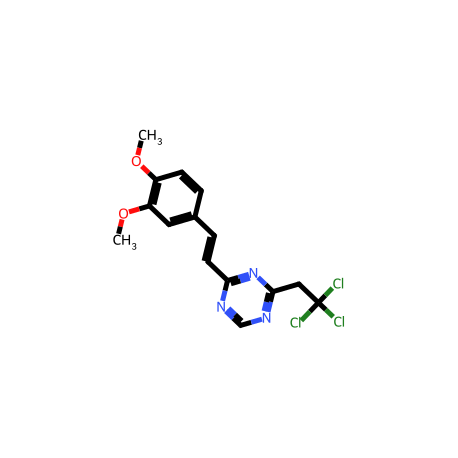 COc1ccc(C=Cc2ncnc(CC(Cl)(Cl)Cl)n2)cc1OC